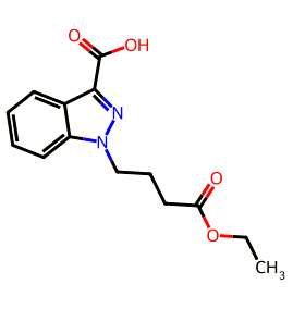 CCOC(=O)CCCn1nc(C(=O)O)c2ccccc21